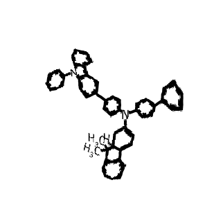 CC1(C)c2ccccc2C2=CC=C(N(c3ccc(-c4ccccc4)cc3)c3ccc(-c4ccc5c(c4)c4ccccc4n5-c4ccccc4)cc3)C[C@H]21